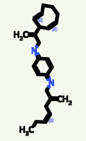 C=C(C/C=C\CC)CN=C1C=CC(=NCC(=C)C2/C=C\CCC/C=C/2)C=C1